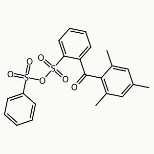 Cc1cc(C)c(C(=O)c2ccccc2S(=O)(=O)OS(=O)(=O)c2ccccc2)c(C)c1